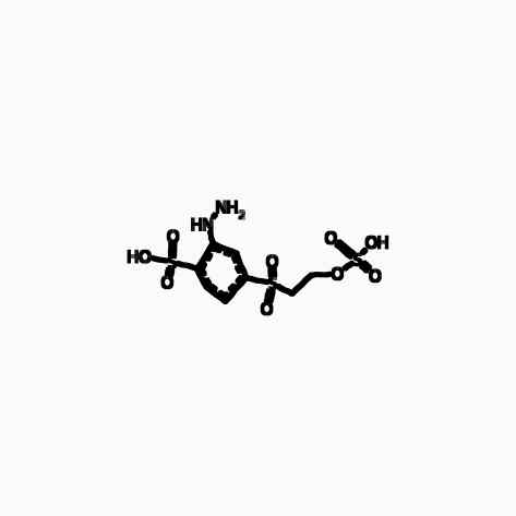 NNc1cc(S(=O)(=O)CCOS(=O)(=O)O)ccc1S(=O)(=O)O